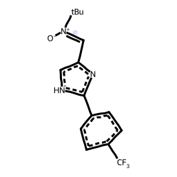 CC(C)(C)/[N+]([O-])=C/c1c[nH]c(-c2ccc(C(F)(F)F)cc2)n1